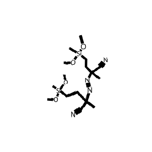 CO[Si](C)(CCC(C)(C#N)N=NC(C)(C#N)CC[Si](C)(OC)OC)OC